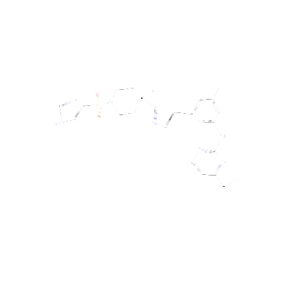 Cc1cc(Nc2nccc(C(F)(F)F)n2)cc(-c2cnc(C3(O)CCN(S(=O)(=O)c4cn(C)cn4)CC3)s2)c1